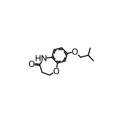 CC(C)COc1ccc2c(c1)OCCC(=O)N2